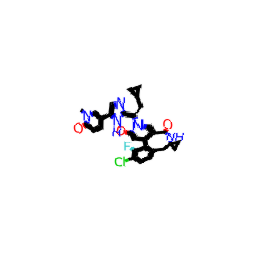 Cn1cc(-c2cnc([C@@H](CC3CC3)n3cc4c(cc3=O)-c3c(ccc(Cl)c3F)CC3(CC3)NC4=O)[nH]2)ccc1=O